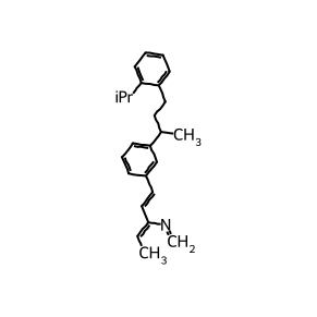 C=NC(=C\C)/C=C/c1cccc(C(C)CCc2ccccc2C(C)C)c1